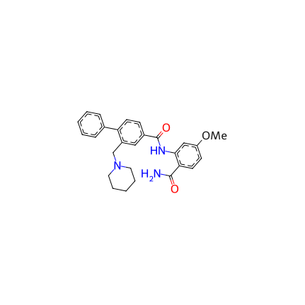 COc1ccc(C(N)=O)c(NC(=O)c2ccc(-c3ccccc3)c(CN3CCCCC3)c2)c1